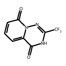 O=c1[nH]c(C(F)(F)F)nn2c(=O)cccc12